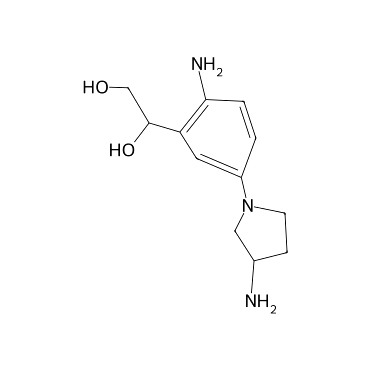 Nc1ccc(N2CCC(N)C2)cc1C(O)CO